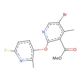 COC(=O)c1c(Oc2ccc(F)nc2C)ncc(Br)c1C